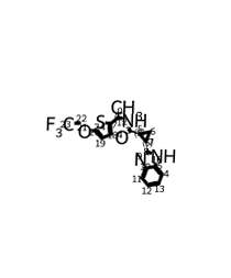 C[C@H](NC(=O)[C@H]1C[C@@H]1c1nc2ccccc2[nH]1)c1ccc(OCC(F)(F)F)s1